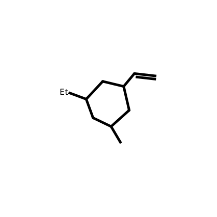 C=CC1CC(C)CC(CC)C1